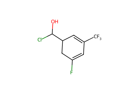 OC(Cl)C1C=C(C(F)(F)F)C=C(F)C1